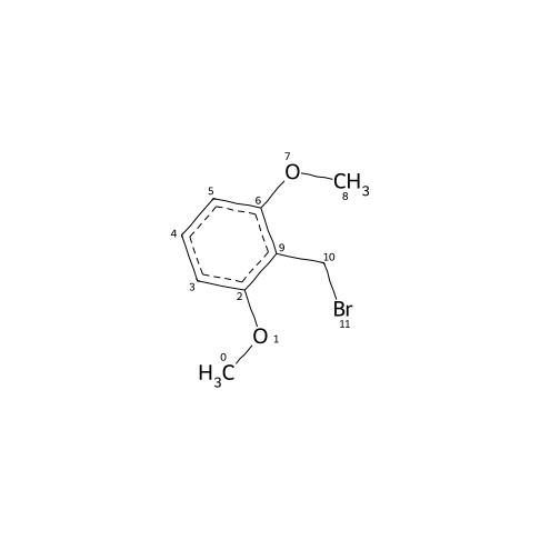 COc1cccc(OC)c1CBr